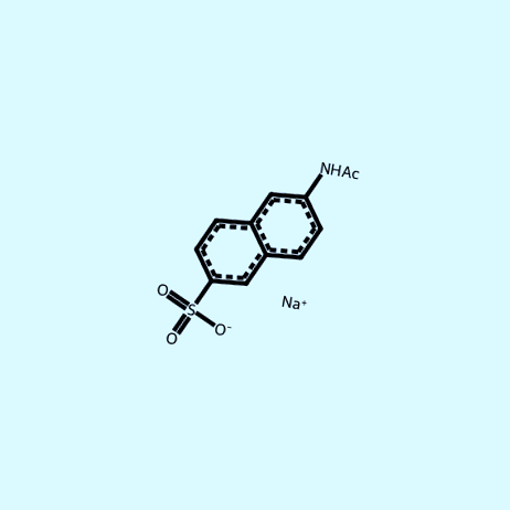 CC(=O)Nc1ccc2cc(S(=O)(=O)[O-])ccc2c1.[Na+]